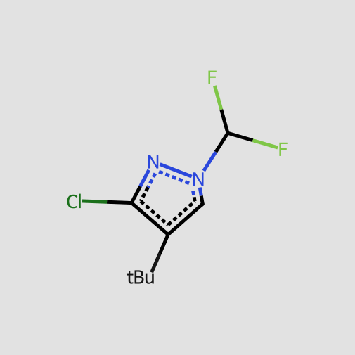 CC(C)(C)c1cn(C(F)F)nc1Cl